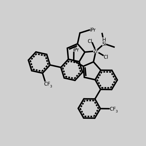 CC(C)CC1=Cc2c(-c3ccccc3C(F)(F)F)cccc2[CH]1[Zr]([Cl])([Cl])([CH]1C(CC(C)C)=Cc2c(-c3ccccc3C(F)(F)F)cccc21)[SiH](C)C